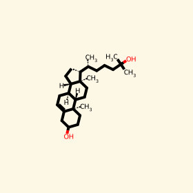 C[C@H](CCCC(C)(C)O)[C@H]1CC[C@H]2[C@@H]3CC=C4CC(O)CC[C@]4(C)[C@H]3CC[C@]12C